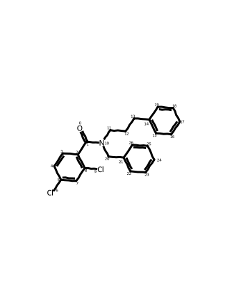 O=C(c1ccc(Cl)cc1Cl)N(CCCc1ccccc1)Cc1ccccc1